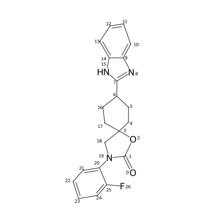 O=C1OC2(CCC(c3nc4ccccc4[nH]3)CC2)CN1c1ccccc1F